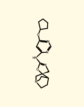 c1nc(NC2=NC[C@@]3(CN4CCC3CC4)O2)cc(OC2CCCC2)n1